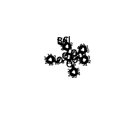 Clc1ccc([C@@H]2O[C@H](COCc3ccccc3)[C@@H](OCc3ccccc3)[C@H](OCc3ccccc3)[C@H]2OCc2ccccc2)cc1CBr